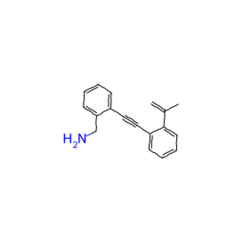 C=C(C)c1ccccc1C#Cc1ccccc1CN